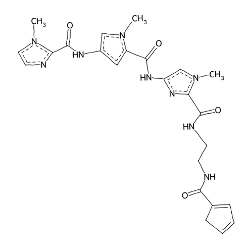 Cn1cc(NC(=O)c2nccn2C)cc1C(=O)Nc1cn(C)c(C(=O)NCCNC(=O)C2=CC=CC2)n1